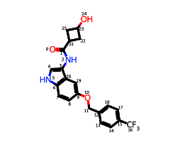 O=C(Nc1c[nH]c2ccc(OCc3ccc(C(F)(F)F)cc3)cc12)C1CC(O)C1